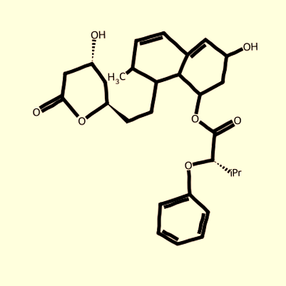 CC1C=CC2=CC(O)CC(OC(=O)[C@@H](Oc3ccccc3)C(C)C)C2C1CC[C@@H]1C[C@@H](O)CC(=O)O1